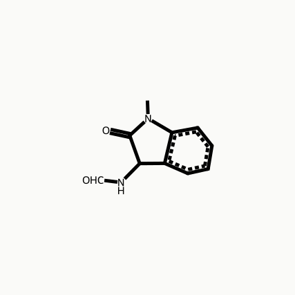 CN1C(=O)C(NC=O)c2ccccc21